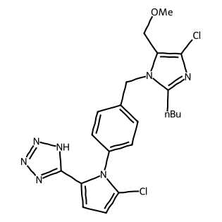 CCCCc1nc(Cl)c(COC)n1Cc1ccc(-n2c(Cl)ccc2-c2nnn[nH]2)cc1